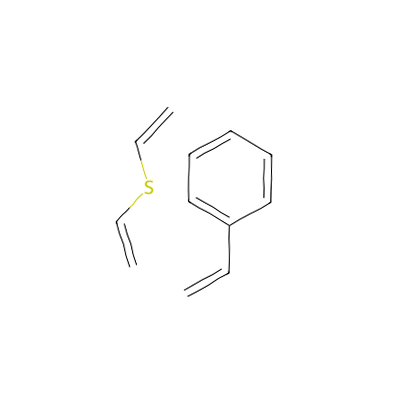 C=CSC=C.C=Cc1ccccc1